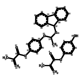 C=C(C)C(=O)Oc1ccc(O)cc1.C=C(C)C(=O)Oc1ccc(OC(C)OC2c3ccccc3-c3ccccc32)cc1